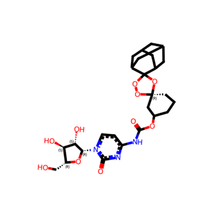 O=C(Nc1ccn([C@@H]2O[C@H](CO)[C@@H](O)[C@@H]2O)c(=O)n1)OC1CCC[C@]2(C1)OOC1(O2)C2CC3CC(C2)CC1C3